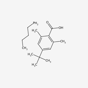 CCCCP.Cc1cc(C(C)(C)C)cc(C)c1C(=O)O